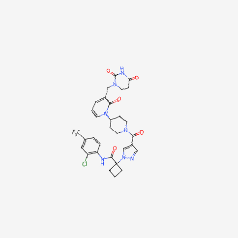 O=C1CCN(Cc2cccn(C3CCN(C(=O)c4cnn(C5(C(=O)Nc6ccc(C(F)(F)F)cc6Cl)CCC5)c4)CC3)c2=O)C(=O)N1